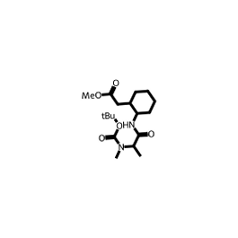 COC(=O)CC1CCCCC1NC(=O)C(C)N(C)C(=O)OC(C)(C)C